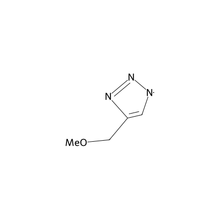 COCC1=C[N]N=N1